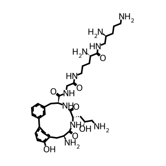 NCCC[C@H](N)CNC(=O)[C@@H](N)CCCNC(=O)CNC(=O)[C@@H]1Cc2cccc(c2)-c2ccc(O)c(c2)C[C@H](N)C(=O)N[C@@H](C[C@@H](O)CN)C(=O)N1